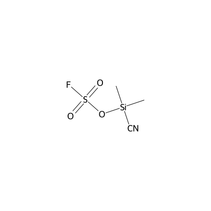 C[Si](C)(C#N)OS(=O)(=O)F